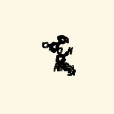 N#Cc1cc(S(=O)(=O)Nc2nccs2)ccc1Oc1ccc(Cl)cc1-c1cccnc1